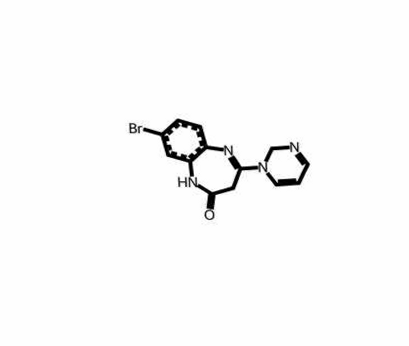 O=C1CC(N2C=CC=NC2)=Nc2ccc(Br)cc2N1